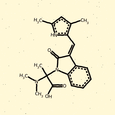 Cc1cc(C)c(/C=C2\C(=O)N(C(C)(C(=O)O)N(C)C)c3ccccc32)[nH]1